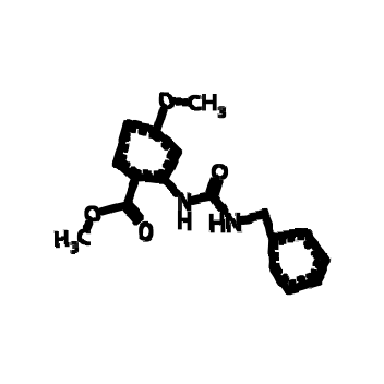 COC(=O)c1ccc(OC)cc1NC(=O)NCc1ccccc1